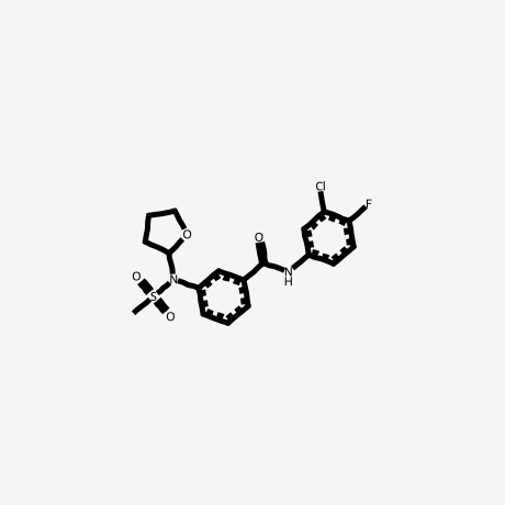 CS(=O)(=O)N(c1cccc(C(=O)Nc2ccc(F)c(Cl)c2)c1)C1CCCO1